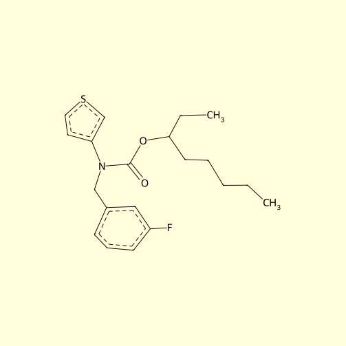 CCCCCC(CC)OC(=O)N(Cc1cccc(F)c1)c1ccsc1